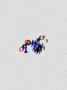 [2H]C([2H])([2H])c1nc2nc([C@H]3CCO[C@@H](c4ccc(=O)n(C5CC5)c4)C3)nc(C34CC(C(F)(F)F)(C3)C4)c2nc1C([2H])([2H])[2H]